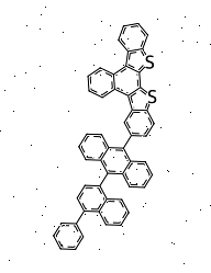 c1ccc(-c2ccc(-c3c4ccccc4c(-c4ccc5sc6c7sc8ccccc8c7c7ccccc7c6c5c4)c4ccccc34)c3ccccc23)cc1